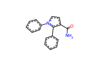 NC(=O)c1ccn(-c2ccccc2)c1-c1ccccc1